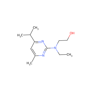 CCN(CCO)c1nc(C)cc(C(C)C)n1